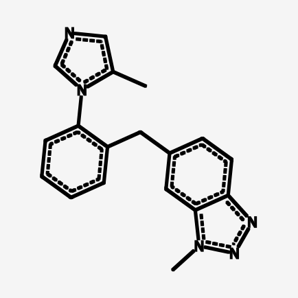 Cc1cncn1-c1ccccc1Cc1ccc2nnn(C)c2c1